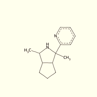 CC1NC(C)(c2ccccn2)C2CCCC12